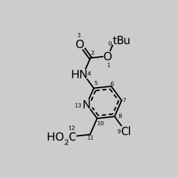 CC(C)(C)OC(=O)Nc1ccc(Cl)c(CC(=O)O)n1